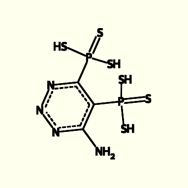 Nc1nnnc(P(=S)(S)S)c1P(=S)(S)S